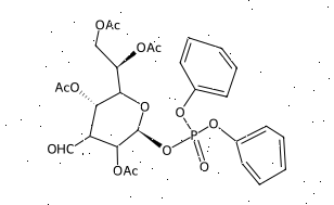 CC(=O)OC[C@@H](OC(C)=O)C1O[C@@H](OP(=O)(Oc2ccccc2)Oc2ccccc2)C(OC(C)=O)C(C=O)[C@@H]1OC(C)=O